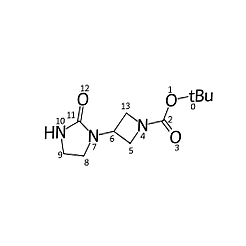 CC(C)(C)OC(=O)N1CC(N2CCNC2=O)C1